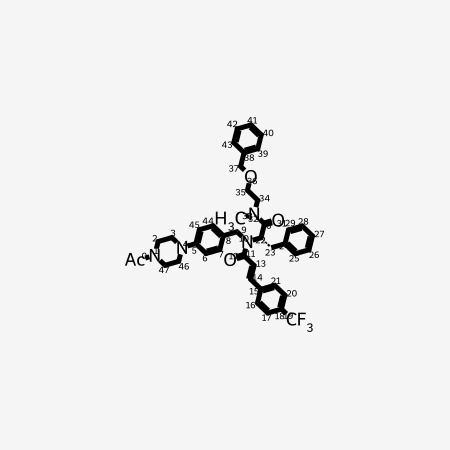 CC(=O)N1CCN(c2ccc(CN(C(=O)/C=C/c3ccc(C(F)(F)F)cc3)[C@@H](Cc3ccccc3)C(=O)N(C)CCOCc3ccccc3)cc2)CC1